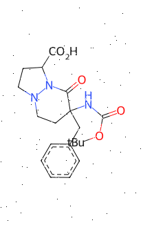 CC(C)(C)OC(=O)NC1(Cc2ccccc2)CCN2CCC(C(=O)O)N2C1=O